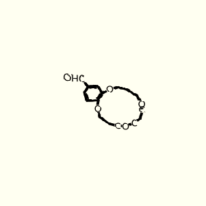 O=Cc1ccc2c(c1)OCCCOCCCOCCCO2